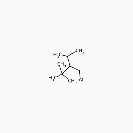 CC(C)C([CH2][Al])C(C)(C)C